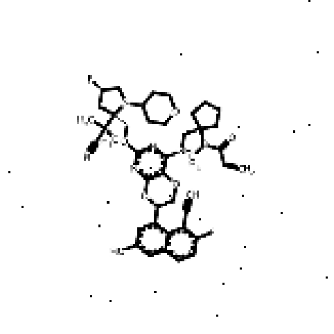 C#Cc1c(F)ccc2cc(O)cc(C3COc4c(NCC5(N(C)C(=O)C=C)CCCC5)nc(OC[C@]5(C(C)(C)C#N)C[C@@H](F)CN5C5CCOCC5)nc4O3)c12